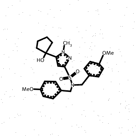 COc1ccc(CN(Cc2ccc(OC)cc2)S(=O)(=O)c2cc(C3(O)CCCC3)n(C)n2)cc1